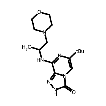 CC(CN1CCOCC1)Nc1nc(C(C)(C)C)cn2c(=O)[nH]nc12